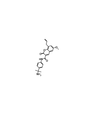 C=CCc1cc(OC)cc2cc(C(=O)Nc3ccc(C(C)(C)N)cc3)c(=O)oc12